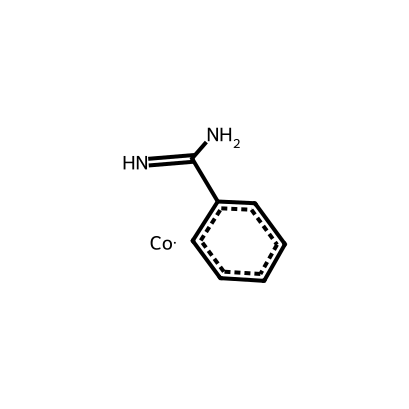 N=C(N)c1ccccc1.[Co]